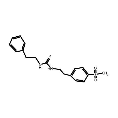 CS(=O)(=O)c1ccc(CCNC(=S)NCCc2ccccc2)cc1